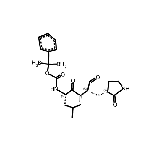 BC(B)(OC(=O)N[C@@H](CC(C)C)C(=O)N[C@H](C=O)C[C@@H]1CCNC1=O)c1ccccc1